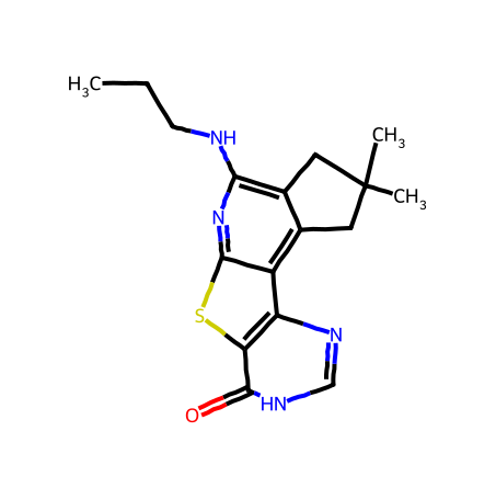 CCCNc1nc2sc3c(=O)[nH]cnc3c2c2c1CC(C)(C)C2